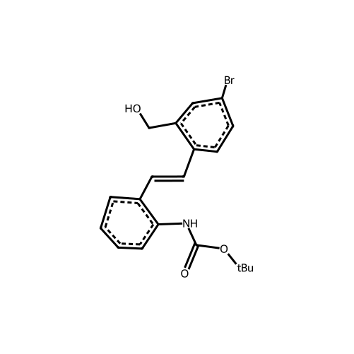 CC(C)(C)OC(=O)Nc1ccccc1/C=C/c1ccc(Br)cc1CO